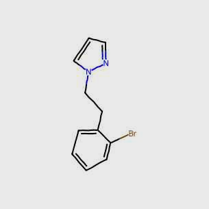 Brc1ccccc1CCn1cccn1